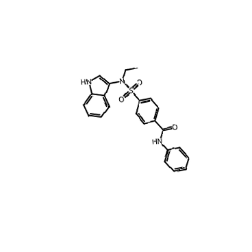 CCN(c1c[nH]c2ccccc12)S(=O)(=O)c1ccc(C(=O)Nc2ccccc2)cc1